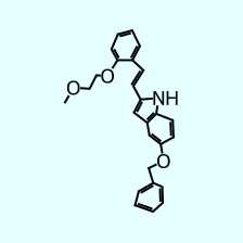 COCCOc1ccccc1C=Cc1cc2cc(OCc3ccccc3)ccc2[nH]1